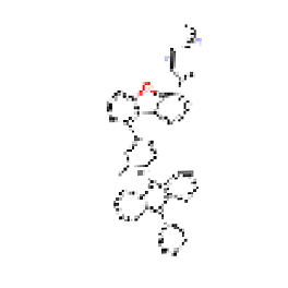 C=C(/C=C\C=C/C)c1cccc2c1oc1cccc(C3=CC(C)[C@@H](c4c5ccccc5c(-c5ccccc5)c5ccccc45)C=C3)c12